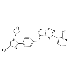 CC(C)c1ncccc1-c1ncc2ccn(Cc3ccc(-c4nc(C(F)(F)F)cn4C4COC4)cc3)c2n1